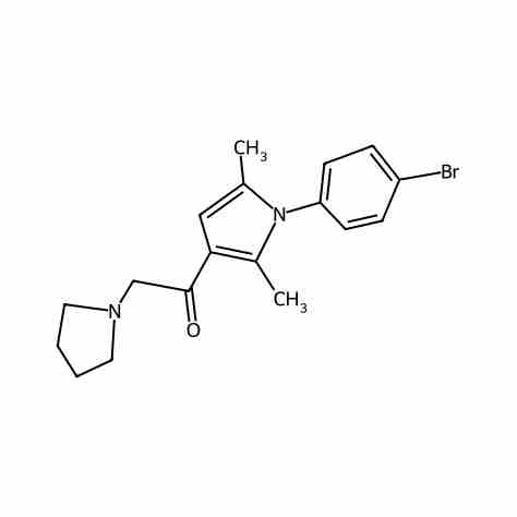 Cc1cc(C(=O)CN2CCCC2)c(C)n1-c1ccc(Br)cc1